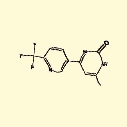 Cc1cc(-c2ccc(C(F)(F)F)nc2)nc(=O)[nH]1